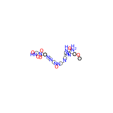 NC(=O)c1c(-c2ccc(Oc3ccccc3)cc2)nn2c1NCC[C@H]2C1CCN(CC2CCN(C(=O)N3CCC(N4CCN(c5ccc6c(c5)C(=O)N(C5CCC(=O)NC5=O)C6=O)CC4)CC3)CC2)CC1